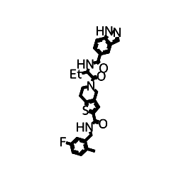 CCC(NC(=O)c1ccc2[nH]ncc2c1)C(=O)N1CCc2sc(C(=O)NCc3cc(F)ccc3C)cc2C1